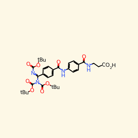 CC(C)(C)OC(=O)N=C(c1ccc(C(=O)Nc2ccc(C(=O)NCCC(=O)O)cc2)cc1)N(C(=O)OC(C)(C)C)C(=O)OC(C)(C)C